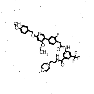 CCOc1cc(OCc2ccc(OC)cc2)ncc1-c1ccc(CC(=O)Nc2cc(C(=O)NCCN3CCOCC3)cc(C(F)(F)F)c2)c(F)c1